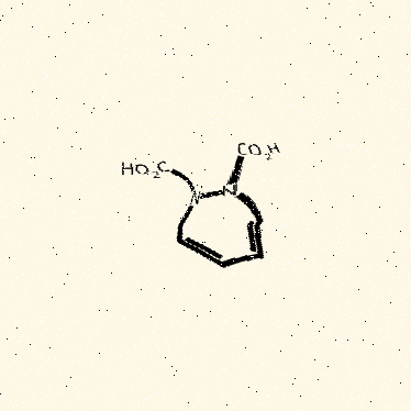 O=C(O)N1C=CC=CN1C(=O)O